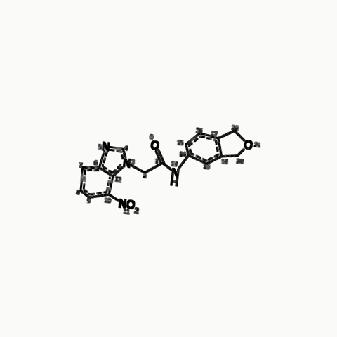 O=C(Cn1cnc2cccc([N+](=O)[O-])c21)Nc1ccc2c(c1)COC2